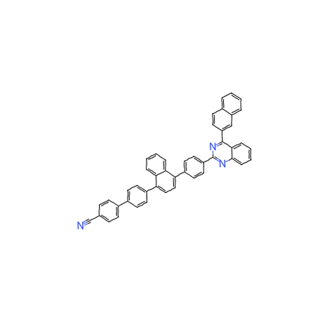 N#Cc1ccc(-c2ccc(-c3ccc(-c4ccc(-c5nc(-c6ccc7ccccc7c6)c6ccccc6n5)cc4)c4ccccc34)cc2)cc1